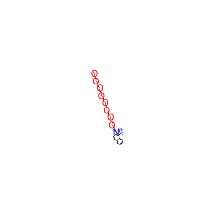 COCCOCCOCCOCCOCCOCCOCCOCC[N+]1=C(C)C(C)(C)c2c1ccc1ccccc21